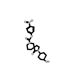 O=C(Oc1ccc([N+](=O)[O-])cc1)N1CCCC2(CCN(C3CCC(O)CC3)C2=O)C1